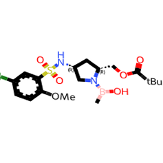 COc1ccc(Cl)cc1S(=O)(=O)N[C@@H]1C[C@H](COC(=O)C(C)(C)C)N(B(C)O)C1